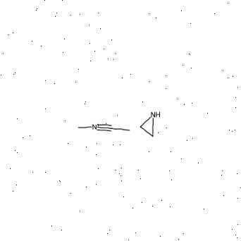 C1CN1.CC#[N+]C